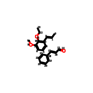 CC=Cc1cccc(OC)c1OCC.O=CC=Cc1ccccc1